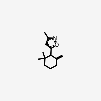 C=C1CCCC(C)(C)C1c1cc(C)no1